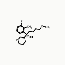 COCCCC[C@@](O)(c1cccc(F)c1C)[C@@H]1CCCNC1